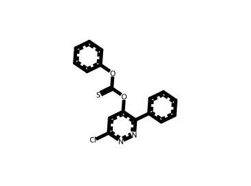 S=C(Oc1ccccc1)Oc1cc(Cl)nnc1-c1ccccc1